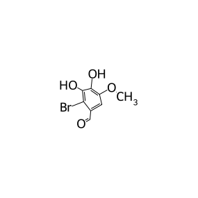 COc1cc(C=O)c(Br)c(O)c1O